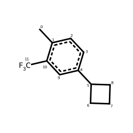 Cc1ccc(C2CCC2)cc1C(F)(F)F